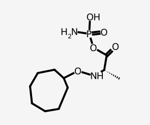 C[C@H](NOC1CCCCCCC1)C(=O)OP(N)(=O)O